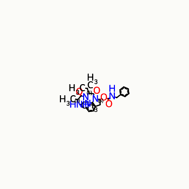 CN[C@@H](C)C(=O)N[C@H](C(=O)N1c2ncccc2C[C@@H]1OC(=O)NCc1ccccc1)C(C)C